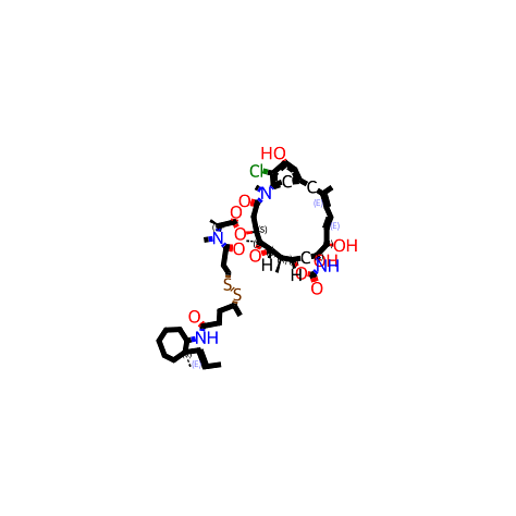 C/C=C/[C@@]1(C)CCCCCC1NC(=O)CCC(C)SSCCC(=O)N(C)[C@@H](C)C(=O)O[C@H]1CC(=O)N(C)c2cc(cc(O)c2Cl)C/C(C)=C/C=C/[C@@H](O)[C@@]2(O)C[C@H](OC(=O)N2)[C@@H](C)[C@@H]2O[C@@]12C